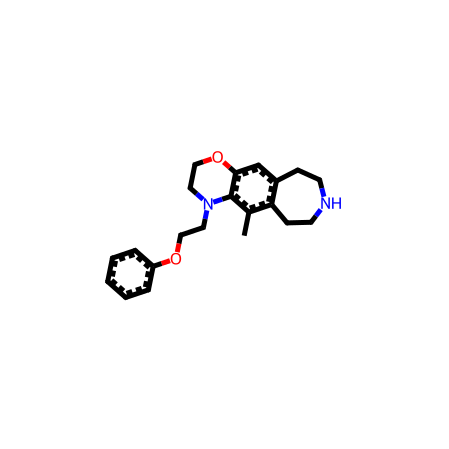 Cc1c2c(cc3c1N(CCOc1ccccc1)CCO3)CCNCC2